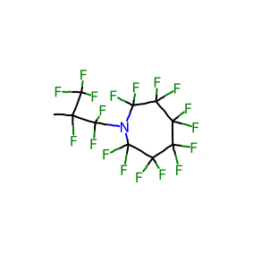 CC(F)(C(F)(F)F)C(F)(F)N1C(F)(F)C(F)(F)C(F)(F)C(F)(F)C(F)(F)C1(F)F